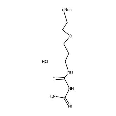 CCCCCCCCCCCOCCCNC(=O)NC(=N)N.Cl